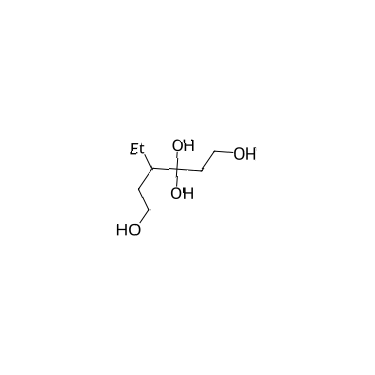 CCC(CCO)C(O)(O)CCO